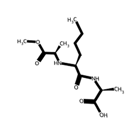 CCCC[C@H](N[C@H](C)C(=O)OC)C(=O)N[C@@H](C)C(=O)O